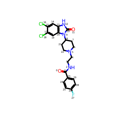 O=C(NCCN1CCC(n2c(=O)[nH]c3cc(Cl)c(Cl)cc32)CC1)c1ccc(F)cc1